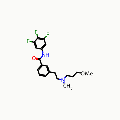 COCCCN(C)CCc1cccc(C(=O)Nc2cc(F)c(F)c(F)c2)c1